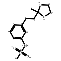 CC1(CCc2cccc(NS(C)(=O)=O)c2)OCCO1